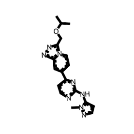 CC(C)OCc1nnc2cc(-c3ccnc(Nc4ccnn4C)n3)ccn12